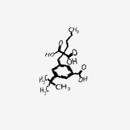 CCCCC(Cc1cc(C(=O)O)cc(C(C)(C)C)c1)(C(=O)O)C(=O)O